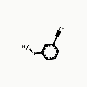 C#Cc1cccc(OC)c1